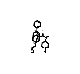 CN(C(=O)C12CC3C[C@@](CCCl)(C1)C[C@](c1ccccc1)(C3)C2)C1CCNCC1